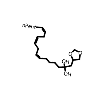 CCCCC/C=C\C/C=C\C/C=C\CCCCC(O)(O)CC1COCO1